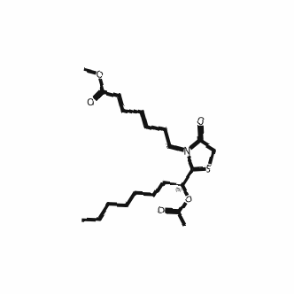 CCCCCCC[C@H](OC(C)=O)C1SCC(=O)N1CCCCCCC(=O)OC